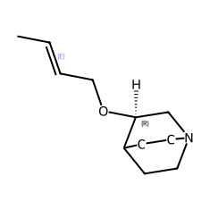 C/C=C/CO[C@H]1CN2CCC1CC2